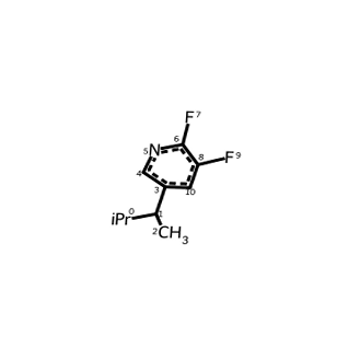 CC(C)C(C)c1cnc(F)c(F)c1